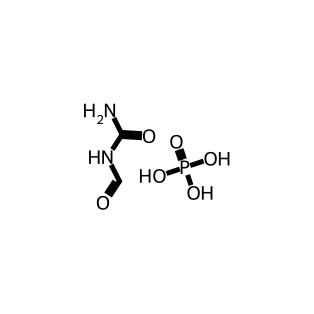 NC(=O)NC=O.O=P(O)(O)O